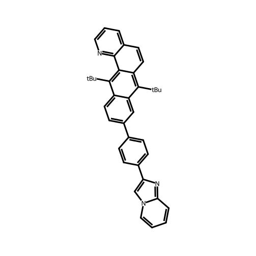 CC(C)(C)c1c2cc(-c3ccc(-c4cn5ccccc5n4)cc3)ccc2c(C(C)(C)C)c2c1ccc1cccnc12